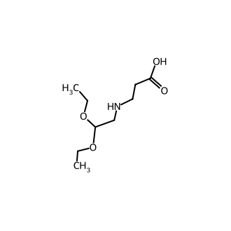 CCOC(CNCCC(=O)O)OCC